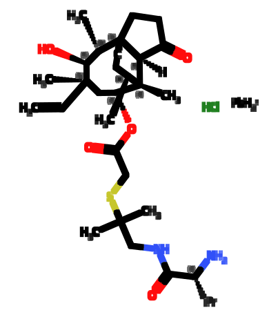 C=C[C@]1(C)C[C@@H](OC(=O)CSC(C)(C)CNC(=O)[C@H](N)C(C)C)[C@]2(C)[C@H](C)CC[C@]3(CCC(=O)[C@H]32)[C@@H](C)[C@@H]1O.Cl.[PbH2]